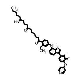 CCCCCC(=N)CCCC(=O)CCCCCC(=O)c1ccc(NC2=CC=CC3C(c4ccc(Oc5ccncc5)c(F)c4F)=CN=C23)cc1CC